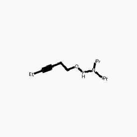 CCC#CCCOPN(C(C)C)C(C)C